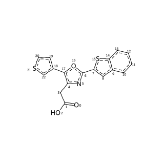 O=C(O)Cc1nc(-c2cc3ccccc3s2)oc1-c1ccsc1